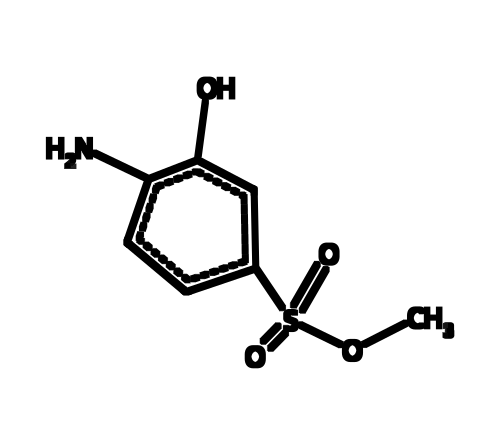 COS(=O)(=O)c1ccc(N)c(O)c1